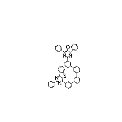 c1ccc(-c2nc(-c3cccc(-c4cccc(-c5cccc(-c6cccc(-c7nc(-c8ccccc8)c8oc9ccccc9c8n7)c6)c5)c4)c3)c3sc4ccccc4c3n2)cc1